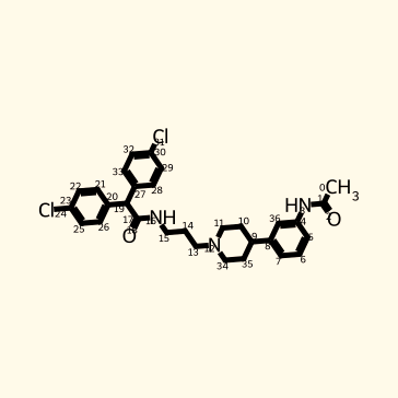 CC(=O)Nc1cccc(C2CCN(CCCNC(=O)C(c3ccc(Cl)cc3)c3ccc(Cl)cc3)CC2)c1